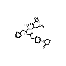 CCN(CC(O)C(Cc1ccccc1)NC(=O)Cc1ccc(N2CCCC2=O)cc1)NC(C)=O